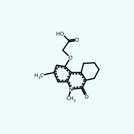 Cc1cc(OCC(=O)O)c2c3c(c(=O)n(C)c2c1)CCCC3